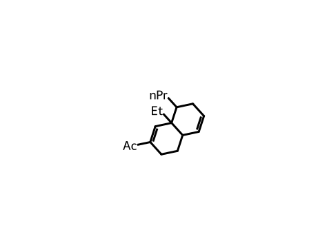 CCCC1CC=CC2CCC(C(C)=O)=CC21CC